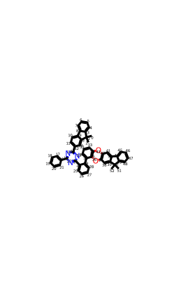 CC1(C)c2ccccc2-c2ccc(-c3nc(-c4ccccc4)nc(-c4ccccc4-c4cccc5c4Oc4cc6c(cc4O5)-c4ccccc4C6(C)C)n3)cc21